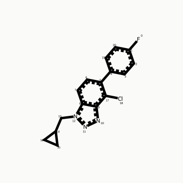 Fc1ccc(-c2ccc3c(nnn3CC3CC3)c2Cl)cc1